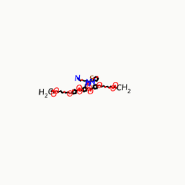 C=CC(=O)OCCCCCCOc1ccc(C(=O)Oc2ccc(OC(=O)c3ccc(OCCCCCCOC(=O)C=C)cc3)c(/C=N/N(CCCCC#N)c3nc4ccccc4s3)c2)cc1